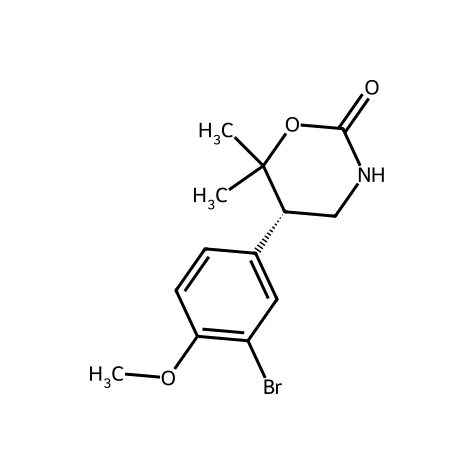 COc1ccc([C@H]2CNC(=O)OC2(C)C)cc1Br